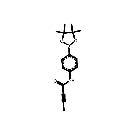 CC#CC(=O)Nc1ccc(B2OC(C)(C)C(C)(C)O2)cc1